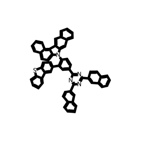 c1ccc2cc(-c3nc(-c4ccc(-n5c6cc7ccccc7cc6c6c7ccccc7ccc65)c(-c5ccc6sc7ccccc7c6c5)c4)nc(-c4ccc5ccccc5c4)n3)ccc2c1